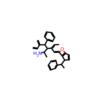 C=CC(=C)C(c1ccccc1)C(C(/C=C1\OC2=C1C(C(C)c1ccccc1)C=C2)=C/C)C(C)N